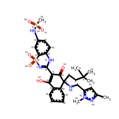 Cc1cc(CNC2(CCC(C)(C)C)C(=O)C(C3=NS(=O)(=O)c4cc(NS(C)(=O)=O)ccc4N3)=C(O)c3ccccc32)n(C)n1